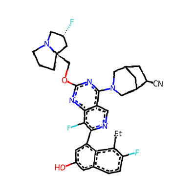 CCc1c(F)ccc2cc(O)cc(-c3ncc4c(N5CC6CC(C#N)C(C6)C5)nc(OC[C@@]56CCCN5C[C@H](F)C6)nc4c3F)c12